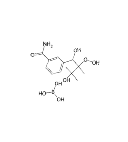 CC(C)(O)C(C)(OO)C(O)c1cccc(C(N)=O)c1.OB(O)O